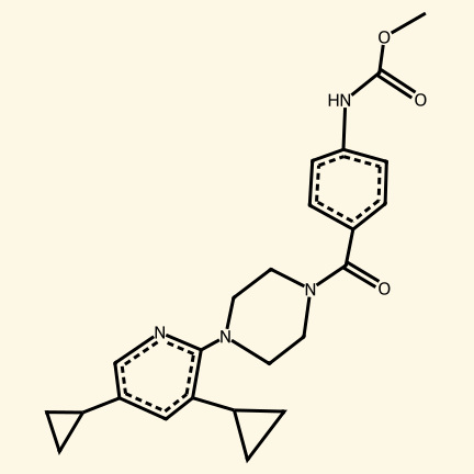 COC(=O)Nc1ccc(C(=O)N2CCN(c3ncc(C4CC4)cc3C3CC3)CC2)cc1